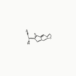 N#CC(C#N)=c1cc2cc3c(cc2s1)=CCS3